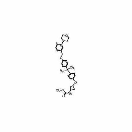 CC(C)(C)OC(=O)NC1CC(Oc2ccc(C(C)(C)c3ccc(OCc4cc(N5CCOCC5)ncn4)cc3)cc2)C1